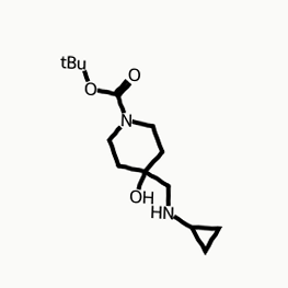 CC(C)(C)OC(=O)N1CCC(O)(CNC2CC2)CC1